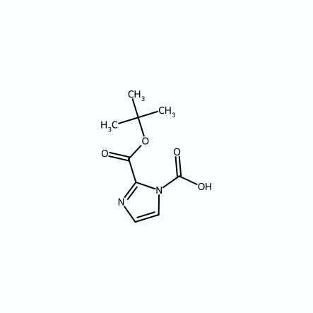 CC(C)(C)OC(=O)c1nccn1C(=O)O